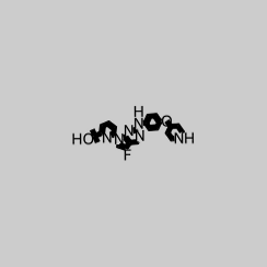 CC(C)(O)c1cccc(-n2cc(F)c3cnc(Nc4ccc(OC5CCNCC5)cc4)nc32)n1